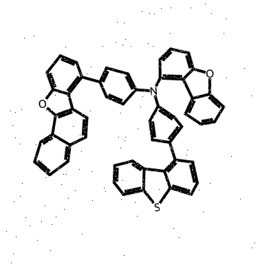 c1ccc2c(c1)ccc1c2oc2cccc(-c3ccc(N(c4ccc(-c5cccc6sc7ccccc7c56)cc4)c4cccc5oc6ccccc6c45)cc3)c21